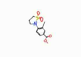 COC(=O)c1ccc(N2CCCS2(=O)=O)c(C)c1